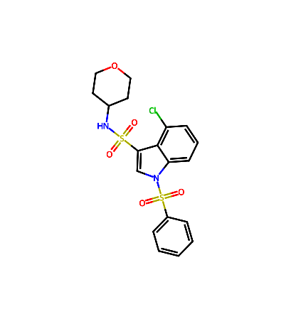 O=S(=O)(NC1CCOCC1)c1cn(S(=O)(=O)c2ccccc2)c2cccc(Cl)c12